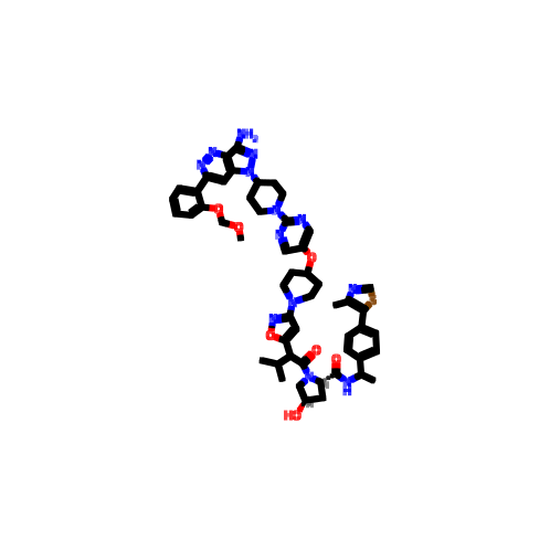 COCOc1ccccc1-c1cc2c(nn1)c(N)nn2C1CCN(c2ncc(OC3CCN(c4cc(C(C(=O)N5C[C@H](O)C[C@H]5C(=O)NC(C)c5ccc(-c6scnc6C)cc5)C(C)C)on4)CC3)cn2)CC1